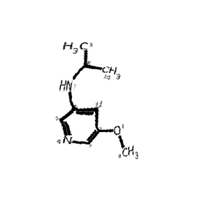 COc1cncc(NC(C)C)c1